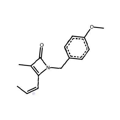 C/C=C\C1=C(C)C(=O)N1Cc1ccc(OC)cc1